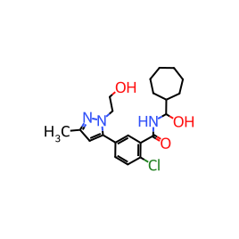 Cc1cc(-c2ccc(Cl)c(C(=O)NC(O)C3CCCCCC3)c2)n(CCO)n1